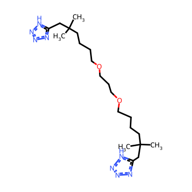 CC(C)(CCCCOCCCOCCCCC(C)(C)Cc1nnn[nH]1)Cc1nnn[nH]1